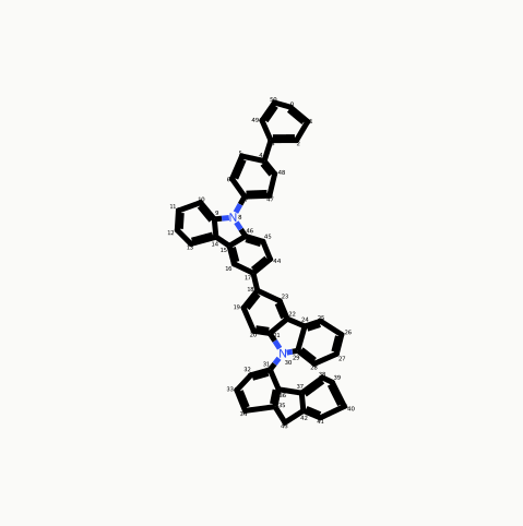 c1ccc(-c2ccc(-n3c4ccccc4c4cc(-c5ccc6c(c5)c5ccccc5n6-c5cccc6c5-c5ccccc5C6)ccc43)cc2)cc1